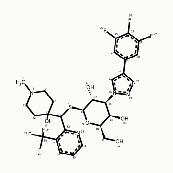 CN1CCC(O)(C(S[C@@H]2O[C@H](CO)[C@H](O)[C@H](n3cc(-c4cc(F)c(F)c(F)c4)nn3)[C@H]2O)c2ncccc2C(F)(F)F)CC1